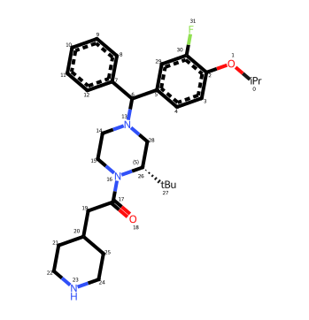 CC(C)Oc1ccc(C(c2ccccc2)N2CCN(C(=O)CC3CCNCC3)[C@@H](C(C)(C)C)C2)cc1F